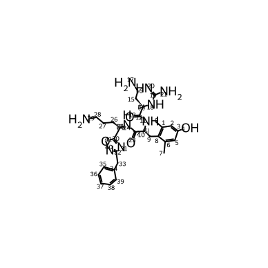 Cc1cc(O)cc(C)c1C[C@H](NC(=O)[C@@H](CCN)NC(=N)N)C(=O)N[C@H](CCCN)c1nc(Cc2ccccc2)no1